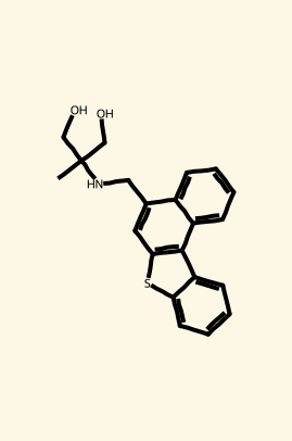 CC(CO)(CO)NCc1cc2sc3ccccc3c2c2ccccc12